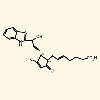 CC1=CC(=O)[C@H](CC=CCCCC(=O)O)[C@H]1C=CC(O)c1nc2ccccc2[nH]1